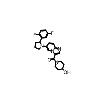 O=C(c1cnc2ccc(N3CCCC3c3cc(F)ccc3F)cn12)N1CCC(O)CC1